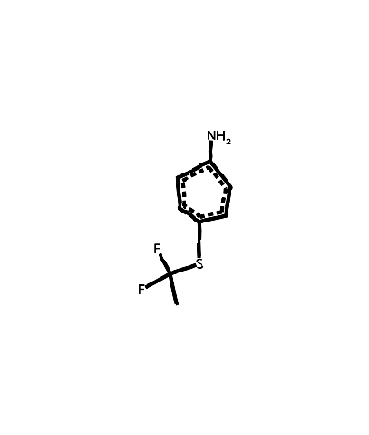 CC(F)(F)Sc1ccc(N)cc1